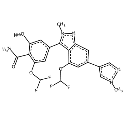 COc1cc(-c2c3c(OC(F)F)cc(-c4cnn(C)c4)cc3nn2C)cc(OC(F)F)c1C(N)=O